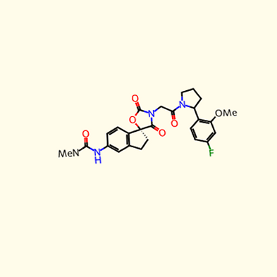 CNC(=O)Nc1ccc2c(c1)CC[C@@]21OC(=O)N(CC(=O)N2CCCC2c2ccc(F)cc2OC)C1=O